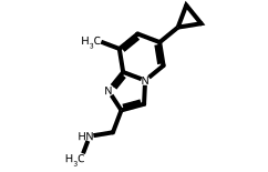 CNCc1cn2cc(C3CC3)cc(C)c2n1